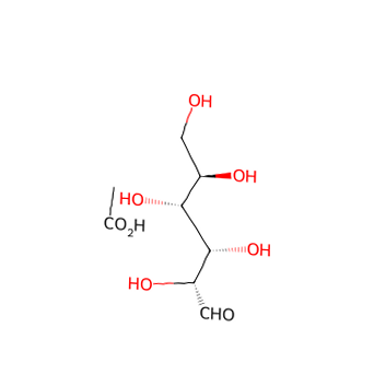 CC(=O)O.O=C[C@H](O)[C@@H](O)[C@H](O)[C@H](O)CO